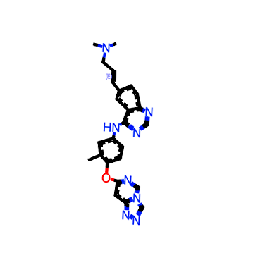 Cc1cc(Nc2ncnc3ccc(/C=C/CN(C)C)cc23)ccc1Oc1cc2nncn2cn1